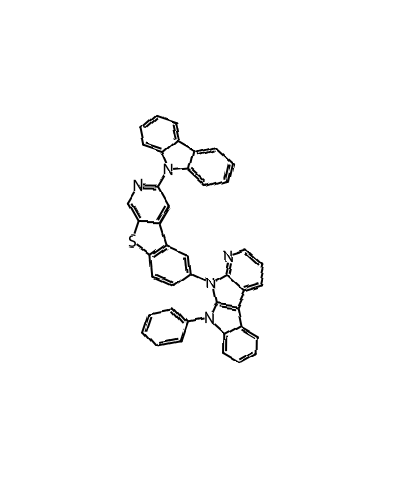 c1ccc(-n2c3ccccc3c3c4cccnc4n(-c4ccc5sc6cnc(-n7c8ccccc8c8ccccc87)cc6c5c4)c32)cc1